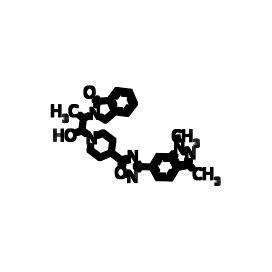 Cc1nn(C)c2cc(-c3noc(C4CCN(C(O)C(C)N5Cc6ccccc6C5=O)CC4)n3)ccc12